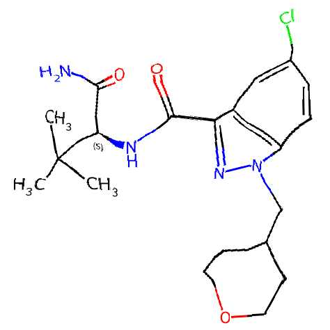 CC(C)(C)[C@H](NC(=O)c1nn(CC2CCOCC2)c2ccc(Cl)cc12)C(N)=O